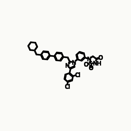 O=C1CN(c2cccc(-n3cc(-c4ccc(Cl)cc4Cl)nc3Cc3ccc(-c4ccc(CC5CCCCC5)cc4)cc3)c2)S(=O)(=O)N1